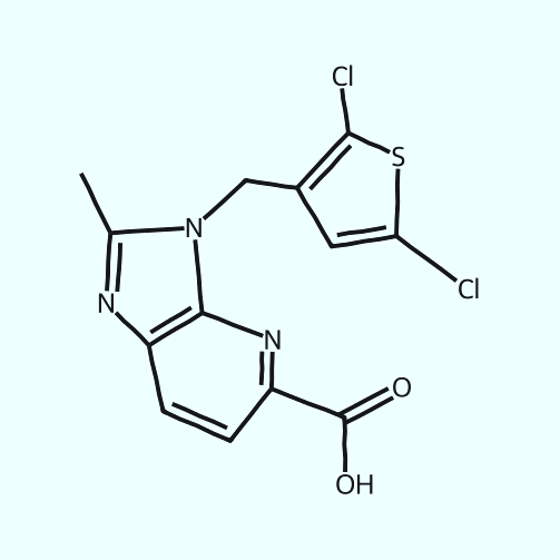 Cc1nc2ccc(C(=O)O)nc2n1Cc1cc(Cl)sc1Cl